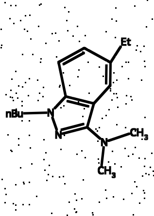 CCCCn1nc(N(C)C)c2cc(CC)ccc21